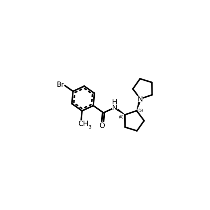 Cc1cc(Br)ccc1C(=O)N[C@@H]1CCC[C@@H]1N1CCCC1